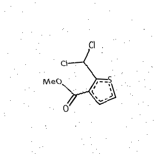 COC(=O)c1ccsc1C(Cl)Cl